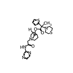 CC(C(=O)O[C@H]1C[N+]2(CC(=O)Nc3cnccn3)CCC1CC2)(c1cccs1)N1CCSCC1